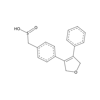 O=S(O)Cc1ccc(C2=C(c3ccccc3)COC2)cc1